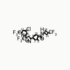 Cc1cc(C2=NO[C@](c3cc(Cl)cc(C(F)(F)F)n3)(C(F)(F)F)C2)ccc1C(=O)N[C@H]1C[C@@H](C(F)(F)F)C1